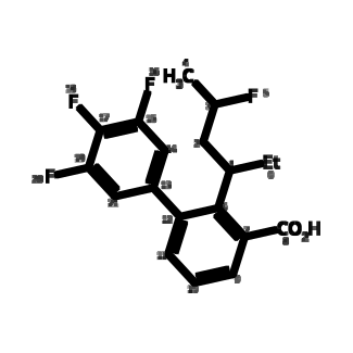 CCC(CC(C)F)c1c(C(=O)O)cccc1-c1cc(F)c(F)c(F)c1